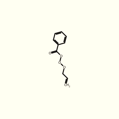 C=CCOOOC(=O)c1ccccc1